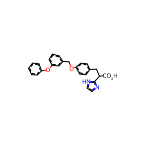 O=C(O)C(Cc1ccc(OCc2cccc(Oc3ccccc3)c2)cc1)c1ncc[nH]1